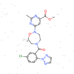 COC(=O)c1cc(N2CCN(C(=O)c3cc(Cl)ccc3-n3nccn3)C[C@H](C)O2)nc(C)n1